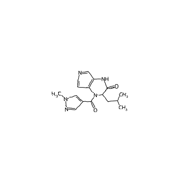 CC(C)CC1C(=O)Nc2cnccc2N1C(=O)c1cnn(C)c1